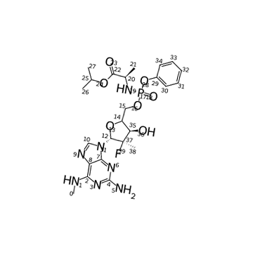 CNc1nc(N)nc2c1ncn2[C@@H]1OC(CO[P@@](=O)(N[C@H](C)C(=O)OC(C)C)Oc2ccccc2)[C@@H](O)[C@@]1(C)F